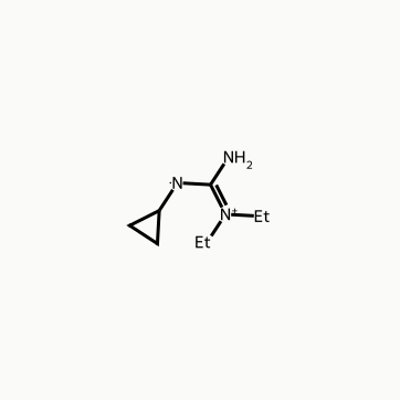 CC[N+](CC)=C(N)[N]C1CC1